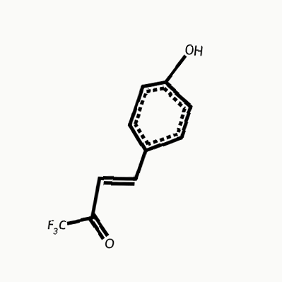 O=C(/C=C/c1ccc(O)cc1)C(F)(F)F